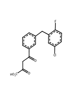 O=C(O)C(=O)CC(=O)c1cccc(Cc2cc(Cl)ccc2F)c1